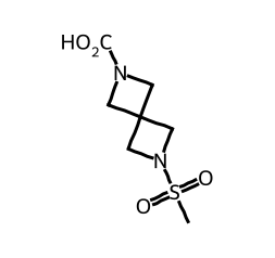 CS(=O)(=O)N1CC2(CN(C(=O)O)C2)C1